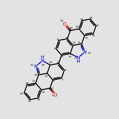 O=C1C2=CC=C(c3ccc4c5c(n[nH]c35)-c3ccccc3C4=O)C3NN=C(c4ccccc41)C23